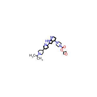 CC(C)N1CCC(c2ccc(-c3cc4c(N5CCN(C(=O)OC6COC6)CC5)ccnc4[nH]3)nc2)CC1